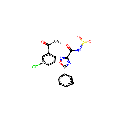 COC(=O)c1cccc(Cl)c1.O=C(N=S(=O)=O)c1noc(-c2ccccc2)n1